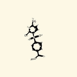 COC(=O)c1ccc(S(=O)(=O)c2ccc(C)nc2Cl)cc1